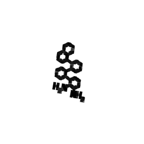 Nc1cccc(-c2ccccc2-c2ccccc2-c2cccc3ccccc23)c1N